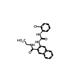 O=C(O)CNC(=O)c1cc2ccccc2cc1NC(=O)Nc1ccccc1Cl